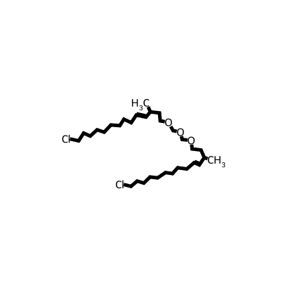 CC(C=CCCCCCCCCCCl)CCOCOCOCCC(C)C=CCCCCCCCCCCl